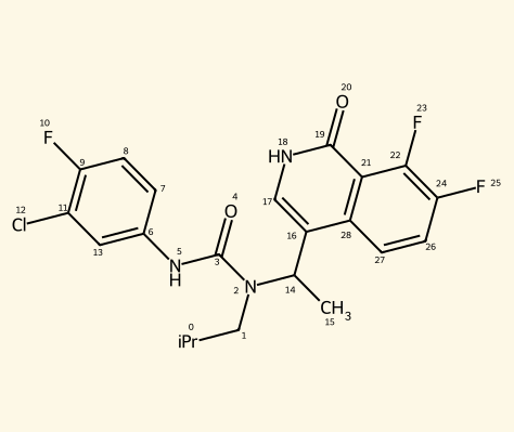 CC(C)CN(C(=O)Nc1ccc(F)c(Cl)c1)C(C)c1c[nH]c(=O)c2c(F)c(F)ccc12